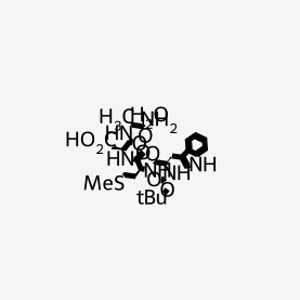 CSCC[C@H](NC(=O)[C@H](Cc1c[nH]c2ccccc12)NC(=O)OC(C)(C)C)C(=O)N[C@@H](CC(=O)O)C(=O)N[C@H](C)C(N)=O.O